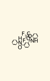 O=C(Nc1ccccc1)c1cccc(C(=O)Nc2ccccc2OC(F)(F)F)c1F